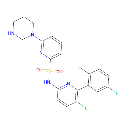 Cc1ccc(F)cc1-c1nc(NS(=O)(=O)c2cccc(N3CCCNC3)n2)ccc1Cl